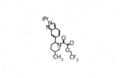 CC1CCC(c2ccc3cn(C(C)C)nc3c2)N(C(=O)C(=O)OCC(F)(F)F)C1